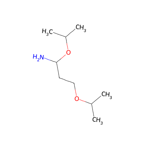 CC(C)OCCC(N)OC(C)C